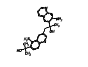 CC(C)(O)c1ccc2ncc(CC(C)(O)c3cc4cccnc4cc3N)cc2c1N